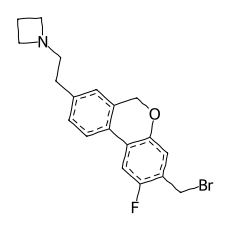 Fc1cc2c(cc1CBr)OCc1cc(CCN3CCC3)ccc1-2